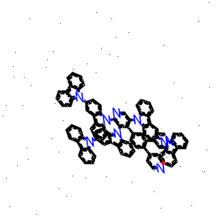 c1ccc2c(c1)c1ccccc1n2-c1ccc2c(c1)c1ccccc1n2-c1cnc(-n2c3ccccc3c3cc(-n4c5ccccc5c5ccccc54)ccc32)c(-n2c3ccccc3c3cc(-n4c5ccccc5c5ccccc54)ccc32)c1-c1ccc(-c2ccncc2)c(-c2ccncc2)c1